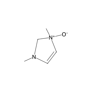 CN1C=C[N+](C)([O-])C1